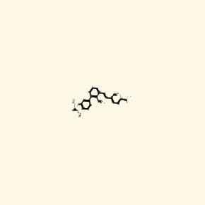 Cc1cc(-c2cc3cccc(-c4ccc5c(c4)n(C)c(=O)n5C)c3cn2)cnc1C(=O)O